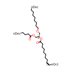 CCCCCCCC/C=C\CCCCCCCC(=O)O[C@H](COCCCCCCCCCCCCCCCCCC)COC(=O)CCCCCCCCCCCCC